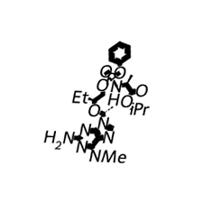 CC[C@@H](CO[P@@](=O)(N[C@@H](C)C(=O)OC(C)C)Oc1ccccc1)O[C@H](C)n1cnc2c(NC)nc(N)nc21